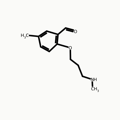 CNCCCOc1ccc(C)cc1C=O